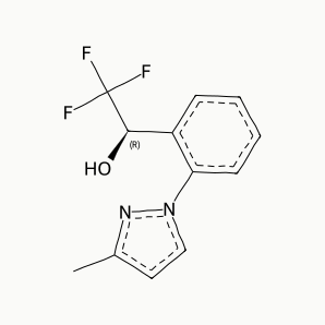 Cc1ccn(-c2ccccc2[C@@H](O)C(F)(F)F)n1